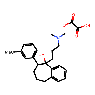 COc1cccc(C2CCCc3ccccc3C2(O)CCCN(C)C)c1.O=C(O)C(=O)O